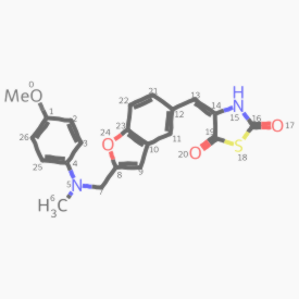 COc1ccc(N(C)Cc2cc3cc(C=C4NC(=O)SC4=O)ccc3o2)cc1